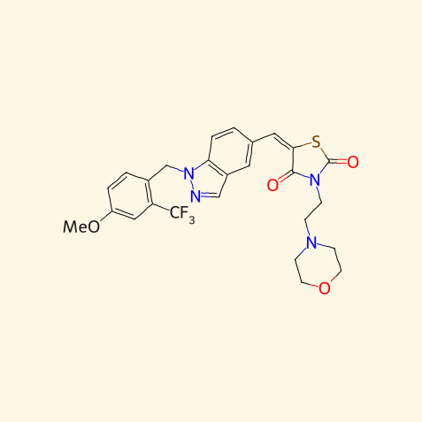 COc1ccc(Cn2ncc3cc(C=C4SC(=O)N(CCN5CCOCC5)C4=O)ccc32)c(C(F)(F)F)c1